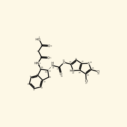 O=C(O)CC(=O)N[C@@H]1c2ccccc2C[C@H]1NC(=O)Oc1cc2sc(Cl)c(Cl)c2[nH]1